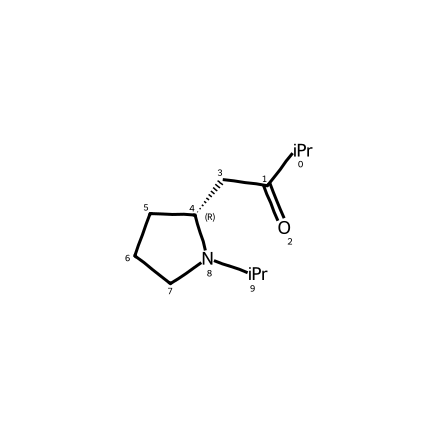 CC(C)C(=O)C[C@H]1CCCN1C(C)C